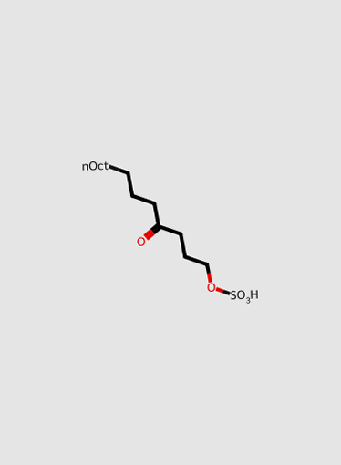 CCCCCCCCCCCC(=O)CCCOS(=O)(=O)O